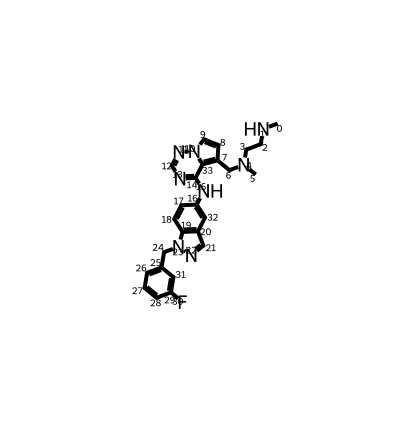 CNCCN(C)Cc1ccn2ncnc(Nc3ccc4c(cnn4Cc4cccc(F)c4)c3)c12